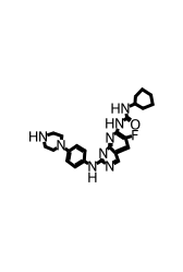 O=C(Nc1nc2nc(Nc3ccc(N4CCNCC4)cc3)ncc2cc1F)NC1CCCCC1